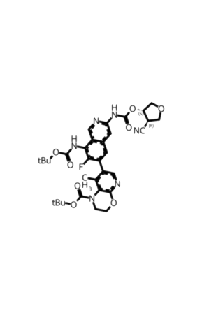 Cc1c(-c2cc3cc(NC(=O)O[C@@H]4COC[C@H]4C#N)ncc3c(NC(=O)OC(C)(C)C)c2F)cnc2c1N(C(=O)OC(C)(C)C)CCO2